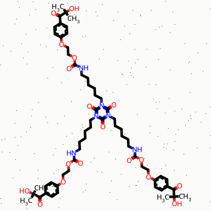 CC(C)(O)C(=O)c1ccc(OCCOC(=O)NCCCCCCn2c(=O)n(CCCCCCNC(=O)OCCOc3ccc(C(=O)C(C)(C)O)cc3)c(=O)n(CCCCCCNC(=O)OCCOc3ccc(C(=O)C(C)(C)O)cc3)c2=O)cc1